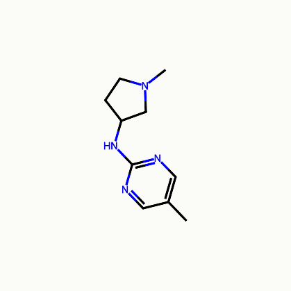 Cc1cnc(NC2CCN(C)C2)nc1